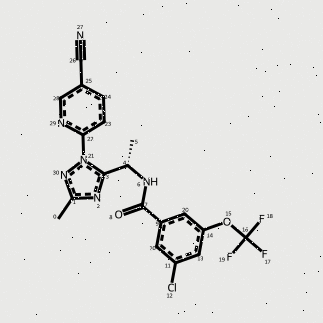 Cc1nc([C@H](C)NC(=O)c2cc(Cl)cc(OC(F)(F)F)c2)n(-c2ccc(C#N)cn2)n1